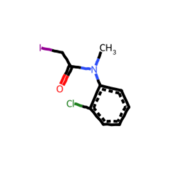 CN(C(=O)CI)c1ccccc1Cl